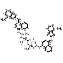 CC(C[N+](C)(C)CCCN1C=C/C(=C\c2nc3c(ccc[n+]3C)o2)c2ccccc21)[N+](C)(C)CCCN1C=C/C(=C\c2nc3c(ccc[n+]3C)o2)c2ccccc21